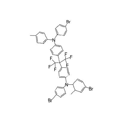 Cc1ccc(N(c2ccc(Br)cc2)c2ccc(C(c3ccc(N(c4ccc(Br)cc4)C4C=CC(Br)=CC4C)cc3)(C(F)(F)F)C(F)(F)F)cc2)cc1